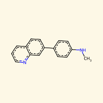 CNc1ccc(-c2ccc3cccnc3c2)cc1